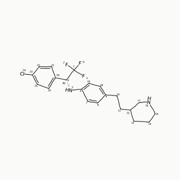 FC(F)(F)[C@H](Nc1ccc(CCC2CCCNC2)cc1)c1ccc(Cl)cc1